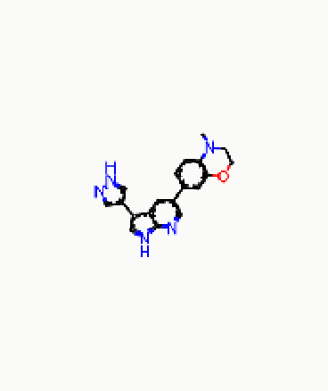 CN1CCOc2cc(-c3cnc4[nH]cc(-c5cn[nH]c5)c4c3)ccc21